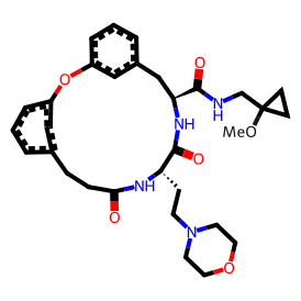 COC1(CNC(=O)[C@@H]2Cc3cccc(c3)Oc3cccc(c3)CCC(=O)N[C@@H](CCN3CCOCC3)C(=O)N2)CC1